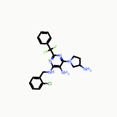 Nc1c(NCc2ccccc2Cl)nc(C(F)(F)c2ccccc2)nc1N1CCC(N)C1